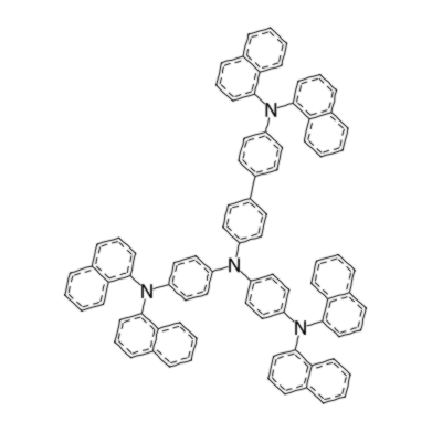 c1ccc2c(N(c3ccc(-c4ccc(N(c5ccc(N(c6cccc7ccccc67)c6cccc7ccccc67)cc5)c5ccc(N(c6cccc7ccccc67)c6cccc7ccccc67)cc5)cc4)cc3)c3cccc4ccccc34)cccc2c1